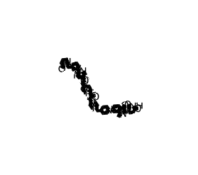 Cc1nn(C2CCC(=O)NC2=O)c(=O)c2ccc(N3CCC(CN4CCN(CC(=O)N5CCC(COc6cnc(-c7cccc(Cn8ncccc8=O)c7)nc6)CC5)CC4)CC3)cc12